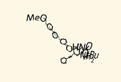 COCCOCCOCCOCCOc1cc(NC(=O)OC(C)(C)C)c(N)cc1C#Cc1ccccc1